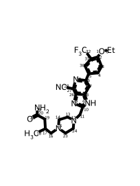 CCOc1ccc(-c2cc3[nH]c(CN4CCN(CC(C)CC(N)=O)CC4)nc3c(C#N)n2)cc1C(F)(F)F